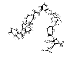 CC1(C)C[C@@H](Nc2cccc(-c3sc(C(=O)O)c(OCC(=O)O)c3Cl)c2)CCN1S(=O)(=O)Cc1cccc(NC(=O)N2CCC(c3ccc4c5c(cccc35)C(=O)N4C3CCC(=O)NC3=O)C(F)(F)C2)c1